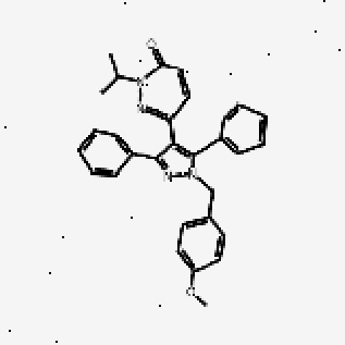 COc1ccc(Cn2nc(-c3ccccc3)c(-c3ccc(=O)n(C(C)C)n3)c2-c2ccccc2)cc1